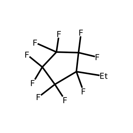 [CH2]CC1(F)C(F)(F)C(F)(F)C(F)(F)C1(F)F